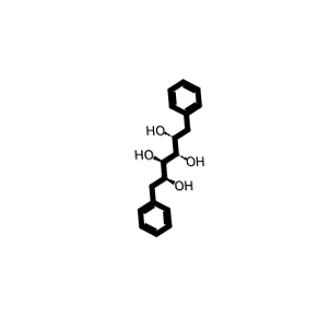 O[C@H]([C@H](O)[C@@H](O)Cc1ccccc1)[C@H](O)Cc1ccccc1